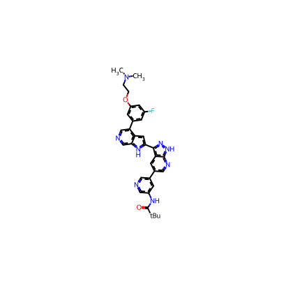 CN(C)CCOc1cc(F)cc(-c2cncc3[nH]c(-c4n[nH]c5ncc(-c6cncc(NC(=O)C(C)(C)C)c6)cc45)cc23)c1